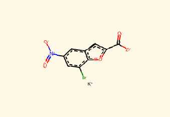 O=C([O-])c1cc2cc([N+](=O)[O-])cc(Br)c2o1.[K+]